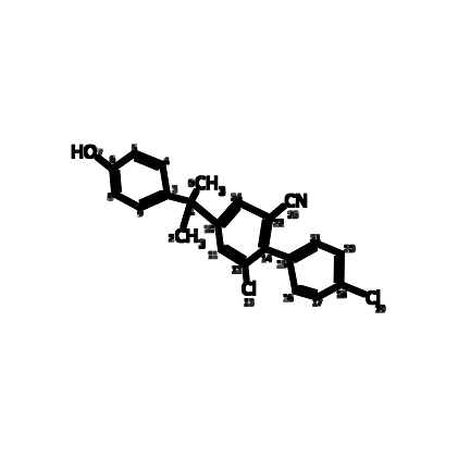 CC(C)(c1ccc(O)cc1)c1cc(Cl)c(-c2ccc(Cl)cc2)c(C#N)c1